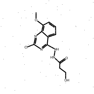 COc1cccc2c(NNC(=O)CCO)nc(Cl)nc12